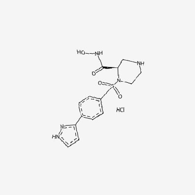 Cl.O=C(NO)[C@H]1CNCCN1S(=O)(=O)c1ccc(-c2cc[nH]n2)cc1